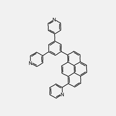 c1ccc(-c2ccc3ccc4ccc(-c5cc(-c6ccncc6)cc(-c6ccncc6)c5)c5ccc2c3c45)nc1